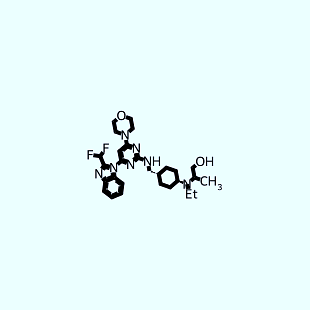 CCN(C(C)CO)[C@H]1CC[C@H](CNc2nc(N3CCOCC3)cc(-n3c(C(F)F)nc4ccccc43)n2)CC1